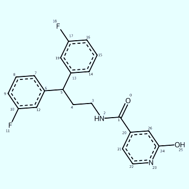 O=C(NCCC(c1cccc(F)c1)c1cccc(F)c1)c1ccnc(O)c1